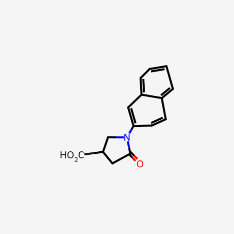 O=C(O)C1CC(=O)N(c2ccc3ccccc3c2)C1